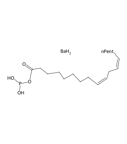 CCCCC/C=C\C/C=C\CCCCCCCC(=O)OP(O)O.[BaH2]